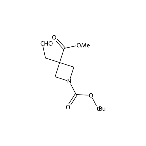 COC(=O)C1(CC=O)CN(C(=O)OC(C)(C)C)C1